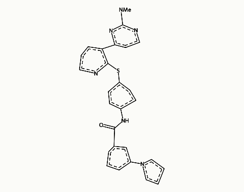 CNc1nccc(-c2cccnc2Sc2ccc(NC(=O)c3cccc(-n4cccc4)c3)cc2)n1